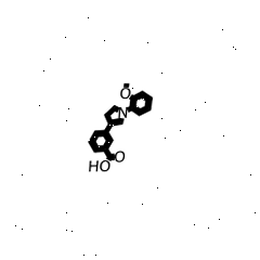 COc1ccccc1N1C=C(c2cccc(C(=O)O)c2)CC1